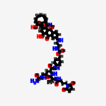 CC(C)[C@H](NC(=O)CCCN1C(=O)C=CC1=O)C(=O)N[C@@H](CCCNC(N)=O)C(=O)Nc1ccc(COC(=O)NCCNc2ccc3c(c2)C(=O)c2c(O)cc4c(c2C3=O)N[C@H]2C#C/C=C\C#C[C@@H](O)[C@@]43O[C@@]23[C@@H](C)O)cc1